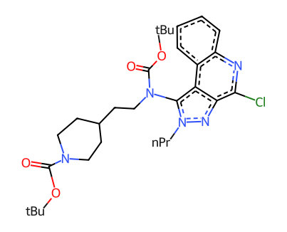 CCCn1nc2c(Cl)nc3ccccc3c2c1N(CCC1CCN(C(=O)OC(C)(C)C)CC1)C(=O)OC(C)(C)C